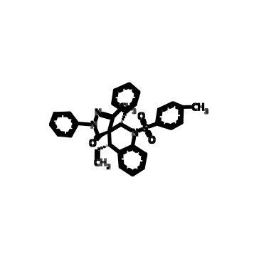 C=C[C@H]1c2ccccc2N(S(=O)(=O)c2ccc(C)cc2)[C@@H](c2ccccc2)[C@]12C(=O)N(c1ccccc1)N=C2C